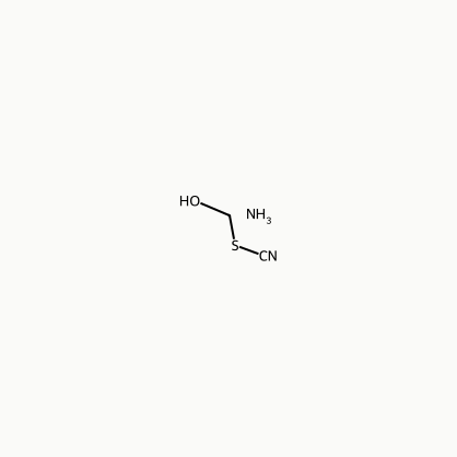 N.N#CSCO